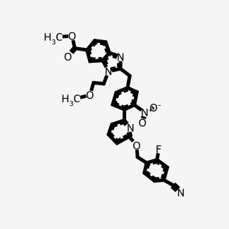 COCCn1c(Cc2ccc(-c3cccc(OCc4ccc(C#N)cc4F)n3)c([N+](=O)[O-])c2)nc2ccc(C(=O)OC)cc21